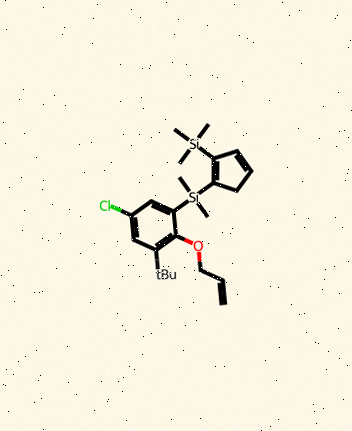 C=CCOc1c(C(C)(C)C)cc(Cl)cc1[Si](C)(C)C1=C([Si](C)(C)C)C=CC1